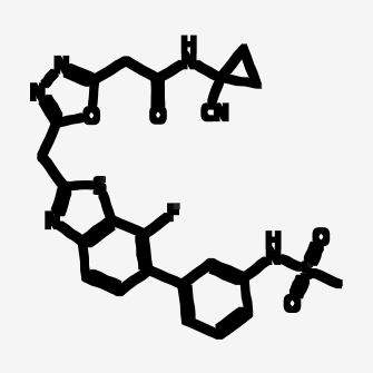 CS(=O)(=O)Nc1cccc(-c2ccc3nc(Cc4nnc(CC(=O)NC5(C#N)CC5)o4)sc3c2F)c1